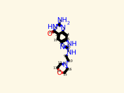 Nc1nc2cc3[nH]c(NCCN4CCOCC4)nc3cc2c(=O)[nH]1